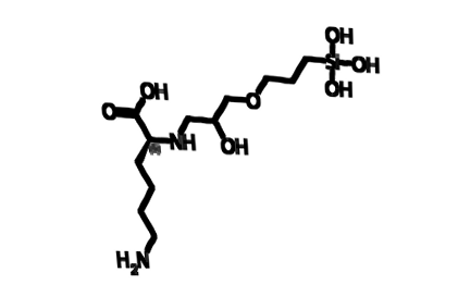 NCCCC[C@H](NCC(O)COCCC[Si](O)(O)O)C(=O)O